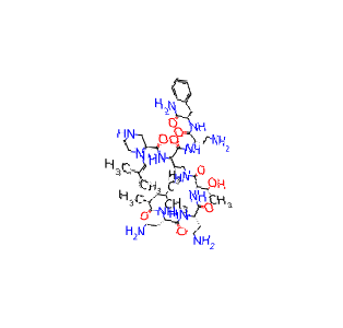 CC(C)C[C@H](C)C(=O)N[C@@H](CCN)C(=O)N[C@@H](CCN)C(=O)N[C@H](C(=O)NCCC(NC(=O)[C@@H]1CNCCN1CC(C)C)C(=O)N[C@@H](CCN)C(=O)N[C@H](Cc1ccccc1)C(N)=O)[C@@H](C)O